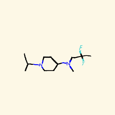 CC(C)N1CCC(N(C)CC(C)(F)F)CC1